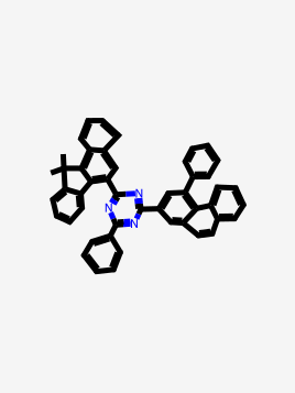 CC1(C)c2ccccc2-c2c(-c3nc(-c4ccccc4)nc(-c4cc(-c5ccccc5)c5c(ccc6ccccc65)c4)n3)cc3ccccc3c21